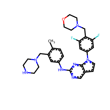 Cc1ccc(Nc2ncc3ccn(-c4cc(F)c(CN5CCOCC5)c(F)c4)c3n2)cc1CN1CCNCC1